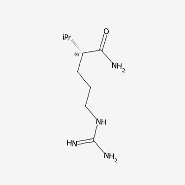 CC(C)[C@@H](CCCNC(=N)N)C(N)=O